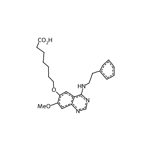 COc1cc2ncnc(NCCc3ccccc3)c2cc1OCCCCCCC(=O)O